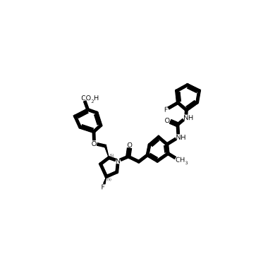 Cc1cc(CC(=O)N2C[C@@H](F)C[C@H]2COc2ccc(C(=O)O)cc2)ccc1NC(=O)Nc1ccccc1F